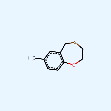 Cc1ccc2c(c1)CSCCO2